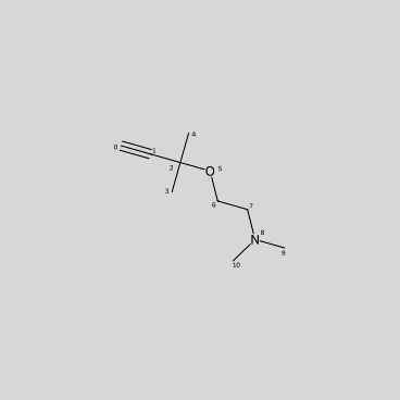 C#CC(C)(C)OCCN(C)C